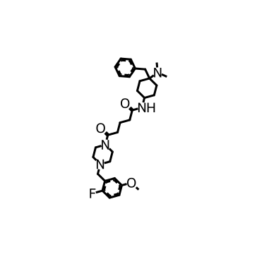 COc1ccc(F)c(CN2CCN(C(=O)CCCC(=O)NC3CCC(Cc4ccccc4)(N(C)C)CC3)CC2)c1